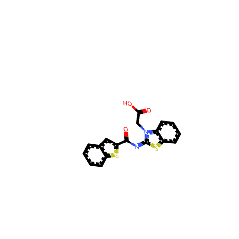 O=C(O)Cn1c(=NC(=O)c2cc3ccccc3s2)sc2ccccc21